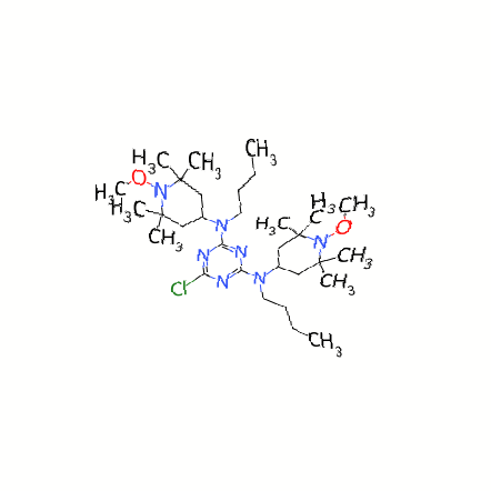 CCCCN(c1nc(Cl)nc(N(CCCC)C2CC(C)(C)N(OC)C(C)(C)C2)n1)C1CC(C)(C)N(OC)C(C)(C)C1